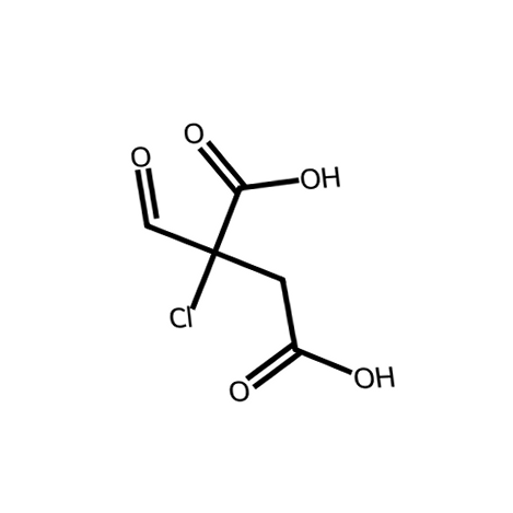 O=CC(Cl)(CC(=O)O)C(=O)O